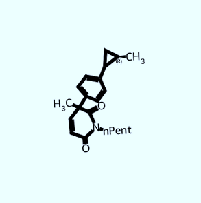 CCCCCN1C(=O)C=CC(C)(c2ccc(C3C[C@H]3C)cc2)C1=O